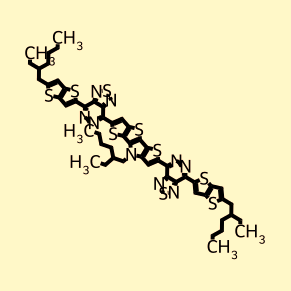 CCCCC(CC)Cc1cc2sc(-c3nnc(-c4cc5c(s4)c4sc6cc(-c7nnc(-c8cc9sc(CC(CC)CCCC)cc9s8)c8nsnc78)sc6c4n5CC(CC)CCCC)c4nsnc34)cc2s1